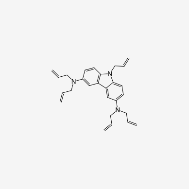 C=CCN(CC=C)c1ccc2c(c1)c1cc(N(CC=C)CC=C)ccc1n2CC=C